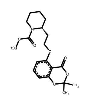 CC(C)(C)OC(=O)N1CCCC[C@H]1CCOc1cccc2c1C(=O)OC(C)(C)O2